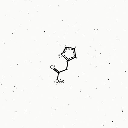 CC(=O)OC(=O)Cc1cccs1